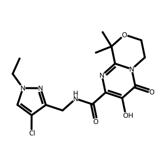 CCn1cc(Cl)c(CNC(=O)c2nc3n(c(=O)c2O)CCOC3(C)C)n1